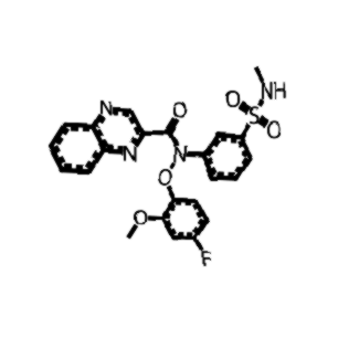 CNS(=O)(=O)c1cccc(N(Oc2ccc(F)cc2OC)C(=O)c2cnc3ccccc3n2)c1